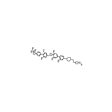 CCCC1CCC(c2ccc(-c3cc(F)c(OCc4cc(F)c(-c5ccc(OC(F)(F)F)cc5)c(F)c4)c(F)c3)c(F)c2)CC1